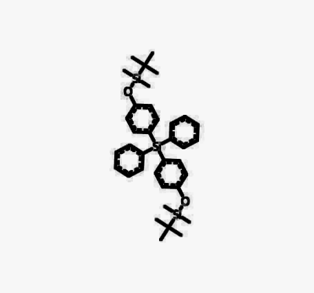 CC(C)(C)[Si](C)(C)Oc1ccc([Si](c2ccccc2)(c2ccccc2)c2ccc(O[Si](C)(C)C(C)(C)C)cc2)cc1